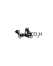 Cc1cc(N2CC(C(=O)NCc3ccco3)C2)nc2c1c(=O)c(C(=O)O)cn2-c1ncns1